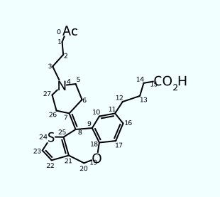 CC(=O)CCCN1CCC(=C2c3cc(CCCC(=O)O)ccc3OCc3ccsc32)CC1